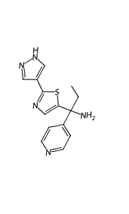 CCC(N)(c1ccncc1)c1cnc(-c2cn[nH]c2)s1